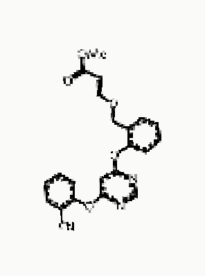 COC(=O)/C=C/OCc1ccccc1Oc1cc(Oc2ccccc2C#N)ncn1